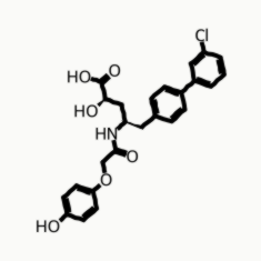 O=C(COc1ccc(O)cc1)N[C@H](Cc1ccc(-c2cccc(Cl)c2)cc1)C[C@@H](O)C(=O)O